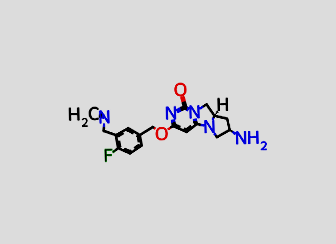 C=NCc1cc(COc2cc3n(c(=O)n2)C[C@H]2C[C@@H](N)CN32)ccc1F